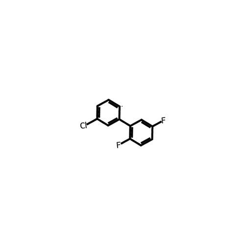 Fc1ccc(F)c(-c2[c]ccc(Cl)c2)c1